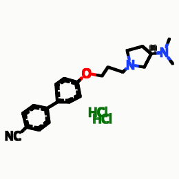 CN(C)[C@@H]1CCN(CCCOc2ccc(-c3ccc(C#N)cc3)cc2)C1.Cl.Cl